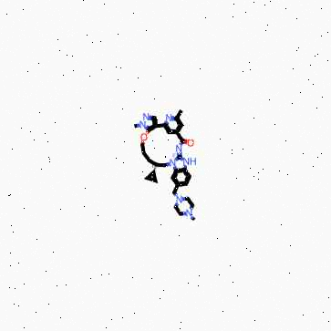 Cc1cc2cc(n1)-c1cnn(C)c1OCCC[C@@H](C1CC1)CN1/C(=N/C2=O)Nc2ccc(CN3CCN(C)CC3)cc21